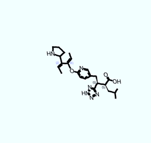 C/C=C(\C(=C/C)Oc1ccc(C[C@H](c2nn[nH]n2)[C@H](CC(C)C)C(=O)O)cn1)C1CCCN1